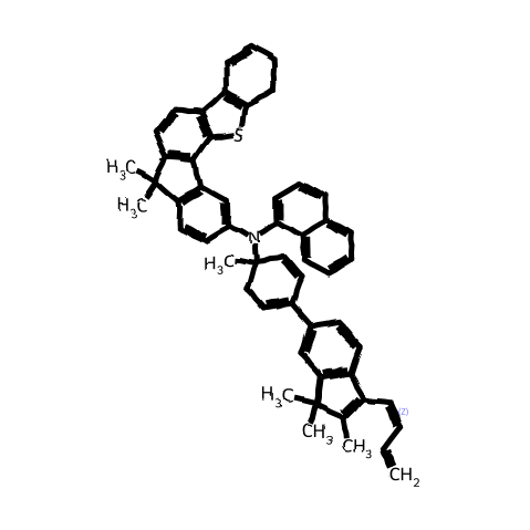 C=C/C=C\C1=C(C)C(C)(C)c2cc(C3=CCC(C)(N(c4ccc5c(c4)-c4c(ccc6c7c(sc46)CCC=C7)C5(C)C)c4cccc5ccccc45)C=C3)ccc21